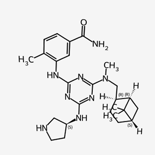 Cc1ccc(C(N)=O)cc1Nc1nc(N[C@H]2CCNC2)nc(N(C)C[C@@H]2CC[C@H]3C[C@H]2C3(C)C)n1